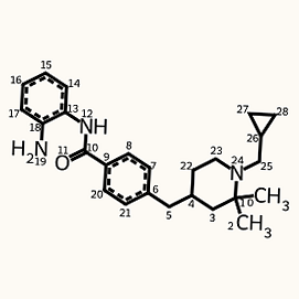 CC1(C)CC(Cc2ccc(C(=O)Nc3ccccc3N)cc2)CCN1CC1CC1